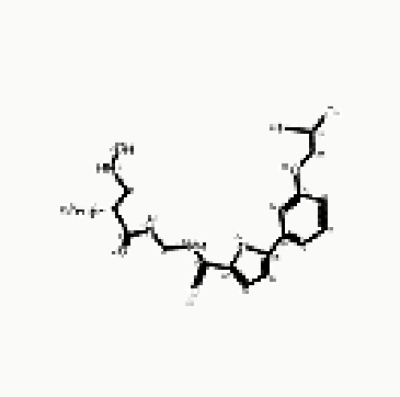 CCCCC[C@H](CNO)C(=O)NCNC(=O)c1ccc(-c2cccc(OCC(F)F)c2)o1